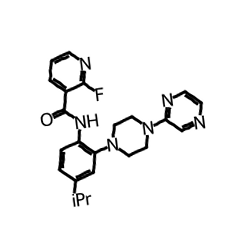 CC(C)c1ccc(NC(=O)c2cccnc2F)c(N2CCN(c3cnccn3)CC2)c1